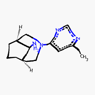 Cc1cc(N2C[C@H]3CC[C@@H](C2)C3N)ncn1